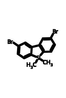 C[Si]1(C)c2ccc(Br)cc2-c2cc(Br)ccc21